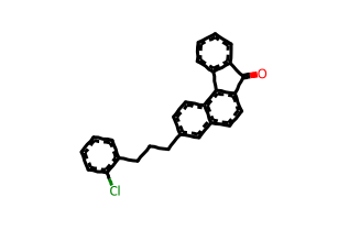 O=C1c2ccccc2-c2c1ccc1cc(CCCc3ccccc3Cl)ccc21